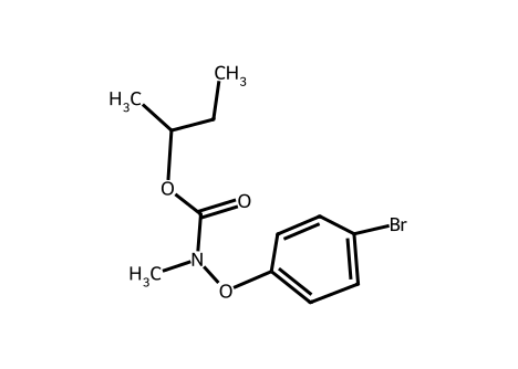 CCC(C)OC(=O)N(C)Oc1ccc(Br)cc1